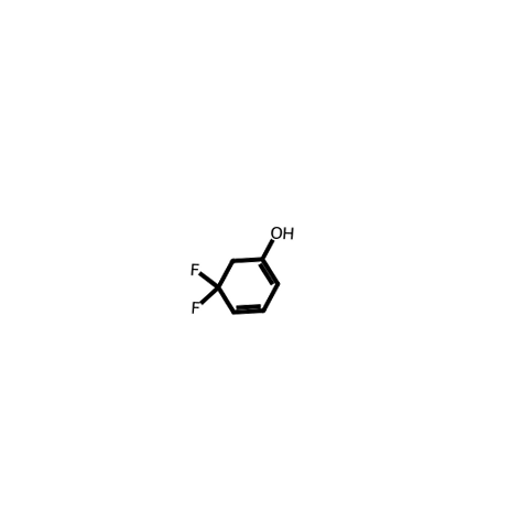 OC1=CC=CC(F)(F)C1